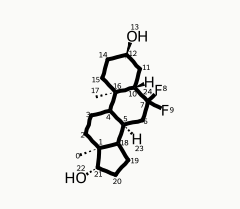 C[C@]12CCC3[C@@H](CC(F)(F)[C@H]4C[C@H](O)CC[C@]34C)C1CC[C@@H]2O